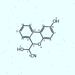 N#CC(O)C1Oc2ccc(O)cc2-c2ccccc21